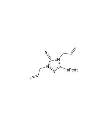 C=CCn1nc(CCCCC)n(CC=C)c1=S